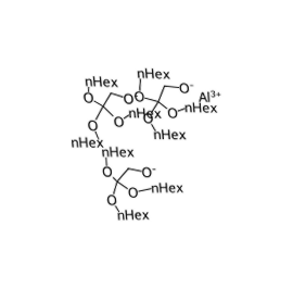 CCCCCCOC(C[O-])(OCCCCCC)OCCCCCC.CCCCCCOC(C[O-])(OCCCCCC)OCCCCCC.CCCCCCOC(C[O-])(OCCCCCC)OCCCCCC.[Al+3]